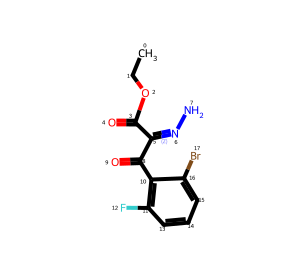 CCOC(=O)/C(=N\N)C(=O)c1c(F)cccc1Br